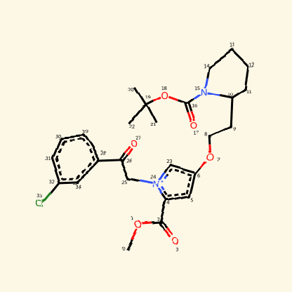 COC(=O)c1cc(OCCC2CCCCN2C(=O)OC(C)(C)C)cn1CC(=O)c1cccc(Cl)c1